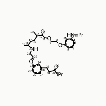 CC(C)Nc1cccc(OCCOCC(=O)C(C)CCC(C)NCCOc2cccc(CCC(=O)C(C)C)c2)c1